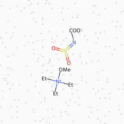 CC[N+](CC)(CC)OC.O=C([O-])N=S(=O)=O